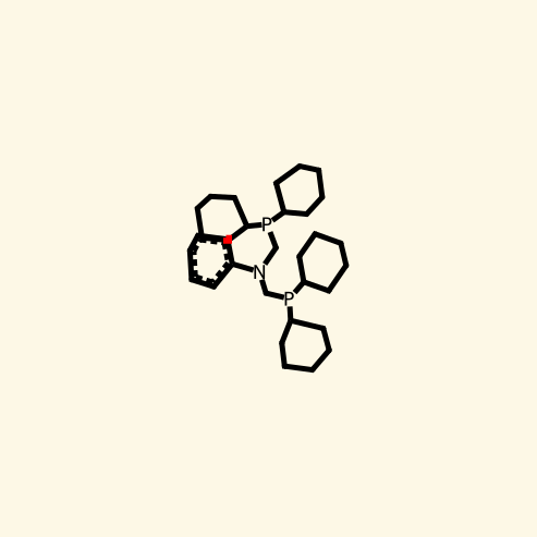 c1ccc(N(CP(C2CCCCC2)C2CCCCC2)CP(C2CCCCC2)C2CCCCC2)cc1